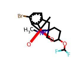 CN1C(=O)NC(=O)C12c1cc(Br)ccc1CC21CCC(OC(F)F)CC1